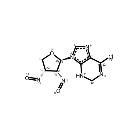 O=N[C@H]1[C@H](n2cnc3c2NCN=C3Cl)OC[C@H]1N=O